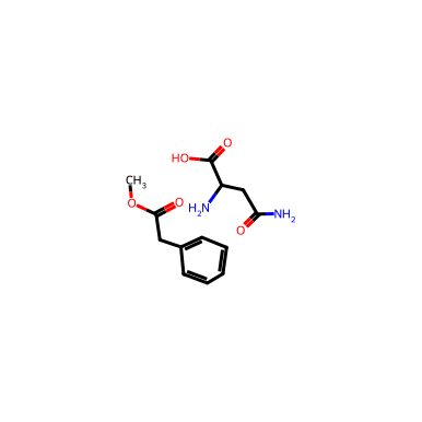 COC(=O)Cc1ccccc1.NC(=O)CC(N)C(=O)O